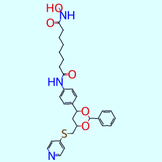 O=C(CCCCCCC(=O)Nc1ccc(C2CC(CSc3ccncc3)OC(c3ccccc3)O2)cc1)NO